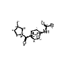 CCC(=O)NC12CCC(C(=O)N3CCC(C)C3)(CC1)CC2